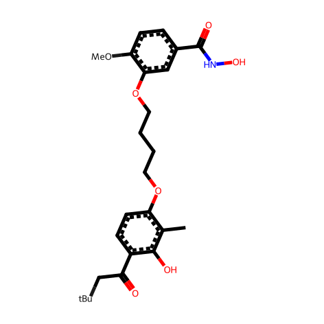 COc1ccc(C(=O)NO)cc1OCCCCOc1ccc(C(=O)CC(C)(C)C)c(O)c1C